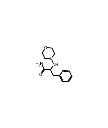 NC(=O)C(Cc1ccccc1)NN1CCOCC1